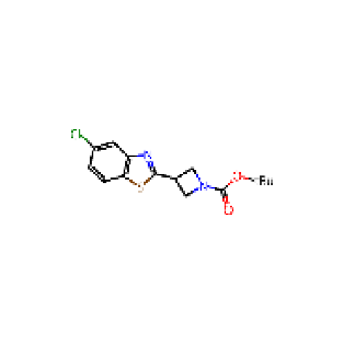 CC(C)(C)OC(=O)N1CC(c2nc3cc(Cl)ccc3s2)C1